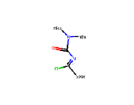 CCCCN(CCCC)C(=O)/N=C(\Cl)SC